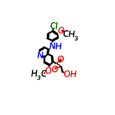 COc1cc(Nc2ccnc3cc(OC)c(S(=O)(=O)CCO)cc23)ccc1Cl